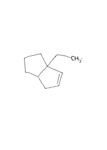 [CH2]CC12C=CCC1CCC2